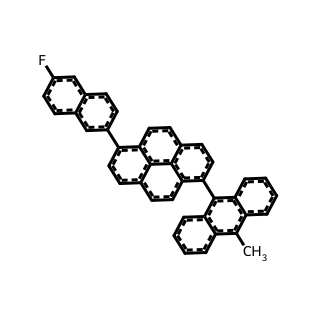 Cc1c2ccccc2c(-c2ccc3ccc4c(-c5ccc6cc(F)ccc6c5)ccc5ccc2c3c54)c2ccccc12